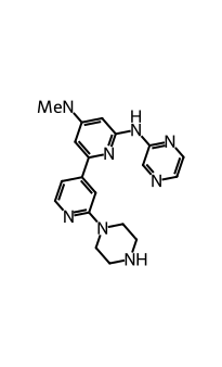 CNc1cc(Nc2cnccn2)nc(-c2ccnc(N3CCNCC3)c2)c1